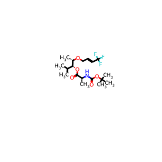 CC(C)[C@@H](OC(=O)[C@H](C)NC(=O)OC(C)(C)C)[C@H](C)OC/C=C/C(F)(F)F